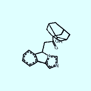 O=C(CC1c2ccccc2-c2cncn21)C12CC3CC(C1)C(O)C(C3)C2